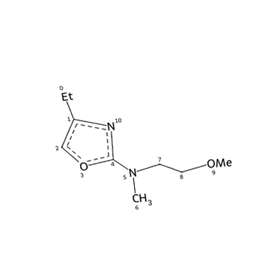 CCc1coc(N(C)CCOC)n1